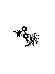 CCCc1nc2c(c(=O)n(CC)c(=O)n2CC)n1Cc1ccc(-c2ccccc2-c2nnn[nH]2)cc1